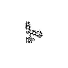 CC(C)[Si](Oc1ccc(C(CCNC(=O)O)C(=O)Nc2ccc3cnsc3c2)cc1)(C(C)C)C(C)C